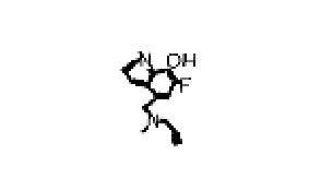 C#CCN(C)Cc1cc(F)c(O)c2ncccc12